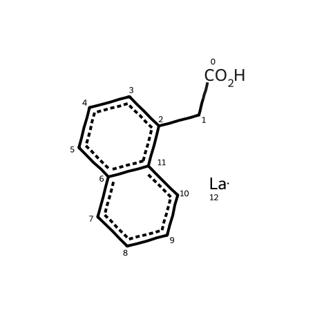 O=C(O)Cc1cccc2ccccc12.[La]